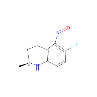 C[C@H]1CCc2c(ccc(F)c2N=O)N1